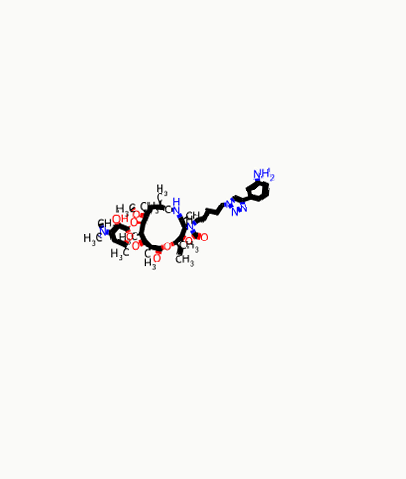 CC[C@H]1OC(=O)[C@H](C)C(=O)[C@H](C)[C@@H](O[C@@H]2O[C@H](C)CC(N(C)C)C2O)[C@](C)(OC)C[C@@H](C)CN[C@H](C)[C@H]2N(CCCCCn3cc(-c4cccc(N)c4)nn3)C(=O)O[C@]12C